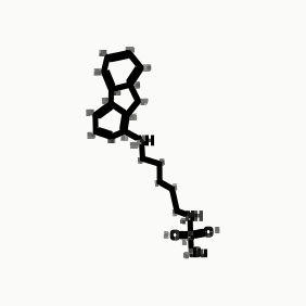 CC(C)(C)S(=O)(=O)NCCCCCNc1cccc2c1Cc1ccccc1-2